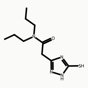 CCCN(CCC)C(=O)Cc1n[nH]c(S)n1